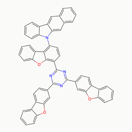 c1ccc2cc3c(cc2c1)c1ccccc1n3-c1ccc(-c2nc(-c3ccc4c(c3)oc3ccccc34)nc(-c3ccc4c(c3)oc3ccccc34)n2)c2oc3ccccc3c12